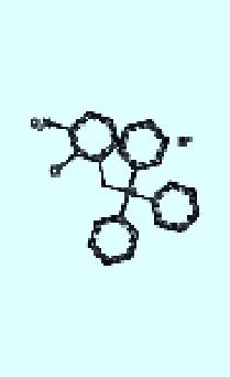 O=[N+]([O-])c1cccc(C[P+](c2ccccc2)(c2ccccc2)c2ccccc2)c1Cl.[Br-]